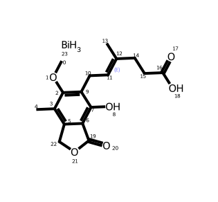 COc1c(C)c2c(c(O)c1C/C=C(\C)CCC(=O)O)C(=O)OC2.[BiH3]